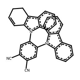 N#Cc1cc(-n2c3c(c4ccccc42)CCC=C3)c(-n2c3ccccc3c3ccccc32)cc1C#N